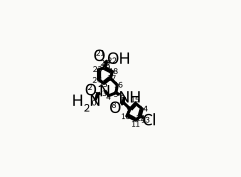 NC(=O)N1CC(NC(=O)c2ccc(Cl)cc2)Cc2cc(C(=O)O)ccc21